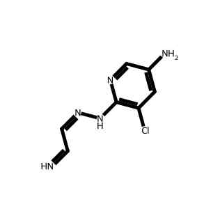 N=C/C=N\Nc1ncc(N)cc1Cl